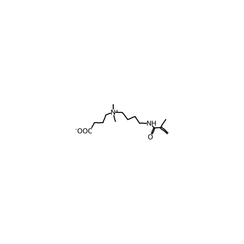 C=C(C)C(=O)NCCCC[N+](C)(C)CCCC(=O)[O-]